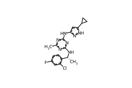 Cc1nc(Nc2cc(C3CC3)[nH]n2)nc(N[C@H](C)c2ccc(F)cc2Cl)n1